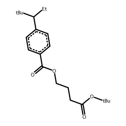 CCC(c1ccc(C(=O)OCCCC(=O)OC(C)(C)C)cc1)C(C)(C)C